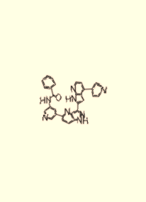 O=C(Nc1cncc(-c2ccc3[nH]nc(-c4cc5c(-c6ccncc6)ccnc5[nH]4)c3n2)c1)c1ccccc1